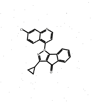 O=C1c2ccccc2-c2c1c(C1CC1)nn2-c1ccnc2cc(Cl)ccc12